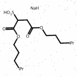 CC(C)CCCOC(=O)CC(C(=O)OCCCC(C)C)S(=O)(=O)O.[NaH]